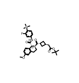 COc1ccc2c(c1)CCN(C(=O)[C@H]1C[C@H](CC(=O)OC(C)(C)C)C1)[C@H]2C(=O)Nc1ccc([Si](C)(C)C)c(F)c1